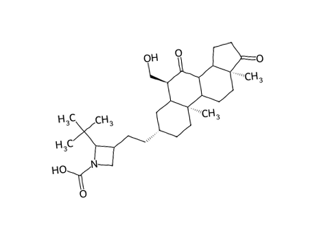 CC(C)(C)C1C(CC[C@H]2CC[C@]3(C)C4CC[C@]5(C)C(=O)CCC5C4C(=O)[C@H](CO)C3C2)CN1C(=O)O